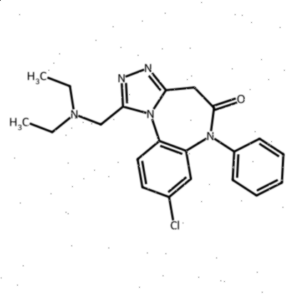 CCN(CC)Cc1nnc2n1-c1ccc(Cl)cc1N(c1ccccc1)C(=O)C2